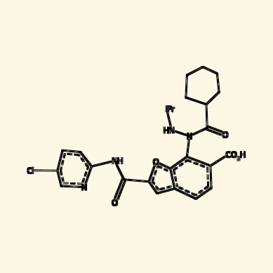 CC(C)NN(C(=O)C1CCCCC1)c1c(C(=O)O)ccc2cc(C(=O)Nc3ccc(Cl)cn3)oc12